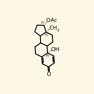 CC(=O)O[C@H]1CCC2C3CCC4=CC(=O)C=C[C@]4(O)C3CC[C@@]21C